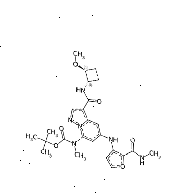 CNC(=O)c1occc1Nc1cc(N(C)C(=O)OC(C)(C)C)n2ncc(C(=O)N[C@H]3CC[C@@H]3OC)c2c1